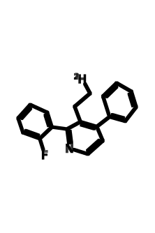 [2H]CCc1c(-c2ccccc2)ccnc1-c1ccccc1F